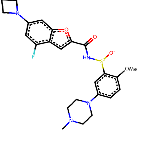 COc1ccc(N2CCN(C)CC2)cc1[S+]([O-])NC(=O)c1cc2c(F)cc(N3CCC3)cc2o1